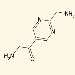 NCC(=O)c1cnc(CN)nc1